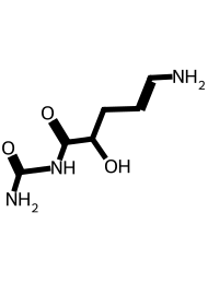 NC=CCC(O)C(=O)NC(N)=O